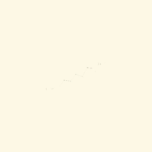 CCCCCCCCCCOCCC